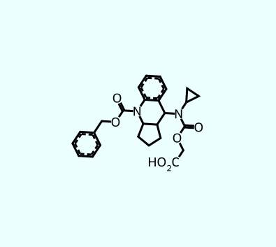 O=C(O)COC(=O)N(C1CC1)C1c2ccccc2N(C(=O)OCc2ccccc2)C2CCCC21